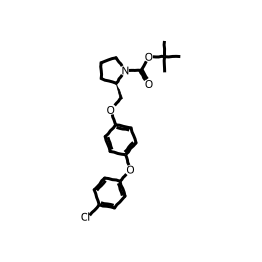 CC(C)(C)OC(=O)N1CCC[C@@H]1COc1ccc(Oc2ccc(Cl)cc2)cc1